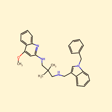 COc1cc(NCC(C)(C)CNCc2cn(Cc3ccccc3)c3ccccc23)nc2ccccc12